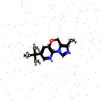 Cc1ncn2c1COc1cc(C(C)(C)C)cnc1-2